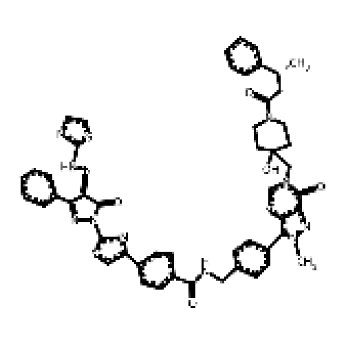 C[C@H](CC(=O)N1CCC(O)(Cn2cnc3c(-c4ccc(CNC(=O)c5ccc(-c6csc(N7N=C(c8ccccc8)/C(=N\Nc8nccs8)C7=O)n6)cc5)cc4)n(C)nc3c2=O)CC1)c1ccccc1